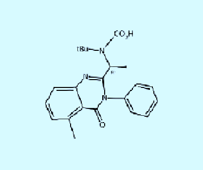 Cc1cccc2nc([C@H](C)N(C(=O)O)C(C)(C)C)n(-c3ccccc3)c(=O)c12